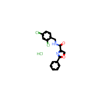 Cl.O=C(NCc1ccc(Cl)cc1Cl)c1coc(-c2ccccc2)n1